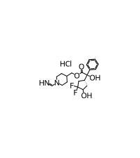 Cl.N=CN1CCC(COC(=O)[C@](O)(c2ccccc2)[C@@H]2CC(O)C(F)(F)C2)CC1